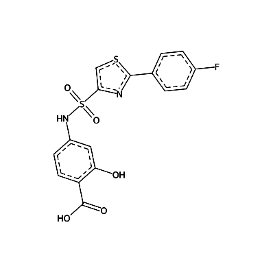 O=C(O)c1ccc(NS(=O)(=O)c2csc(-c3ccc(F)cc3)n2)cc1O